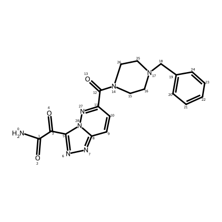 NC(=O)C(=O)c1nnc2ccc(C(=O)N3CCN(Cc4ccccc4)CC3)nn12